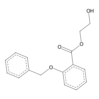 O=C(OCCO)c1ccccc1OCc1ccccc1